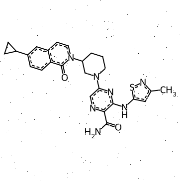 Cc1cc(Nc2nc(N3CCCC(n4ccc5cc(C6CC6)ccc5c4=O)C3)cnc2C(N)=O)sn1